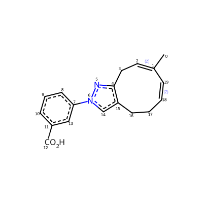 CC1=C/Cc2nn(-c3cccc(C(=O)O)c3)cc2CC/C=C\1